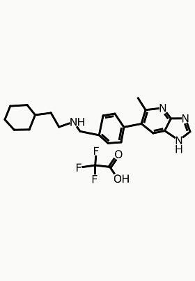 Cc1nc2nc[nH]c2cc1-c1ccc(CNCCC2CCCCC2)cc1.O=C(O)C(F)(F)F